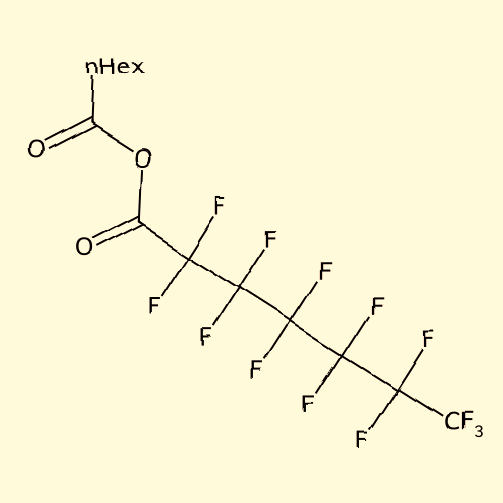 CCCCCCC(=O)OC(=O)C(F)(F)C(F)(F)C(F)(F)C(F)(F)C(F)(F)C(F)(F)F